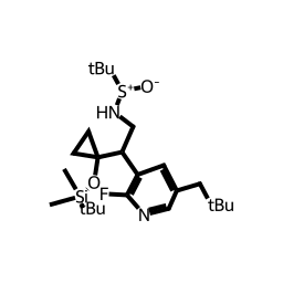 CC(C)(C)Cc1cnc(F)c(C(CN[S+]([O-])C(C)(C)C)C2(O[Si](C)(C)C(C)(C)C)CC2)c1